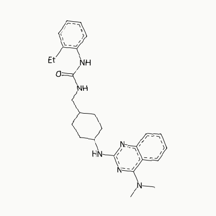 CCc1ccccc1NC(=O)NCC1CCC(Nc2nc(N(C)C)c3ccccc3n2)CC1